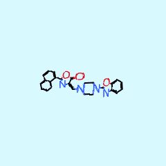 O=C1OC(c2cccc3ccccc23)=N/C1=C/N1CCN(c2nc3ccccc3o2)CC1